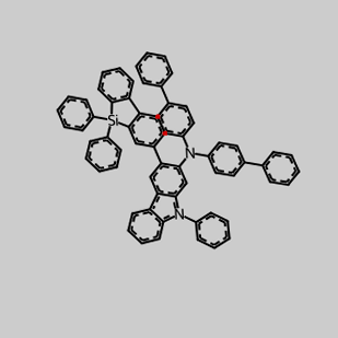 c1ccc(-c2ccc(N(c3ccc(-c4ccccc4)cc3)c3cc4c(cc3-c3ccc5c(c3)[Si](c3ccccc3)(c3ccccc3)c3ccccc3-5)c3ccccc3n4-c3ccccc3)cc2)cc1